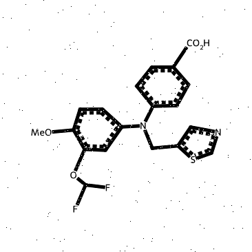 COc1ccc(N(Cc2cncs2)c2ccc(C(=O)O)cc2)cc1OC(F)F